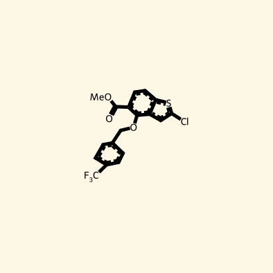 COC(=O)c1ccc2sc(Cl)cc2c1OCc1ccc(C(F)(F)F)cc1